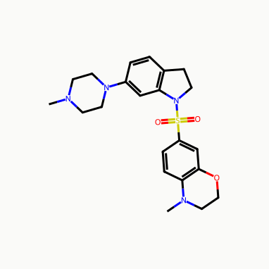 CN1CCN(c2ccc3c(c2)N(S(=O)(=O)c2ccc4c(c2)OCCN4C)CC3)CC1